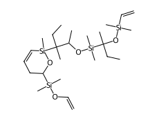 C=CO[Si](C)(C)C1CC=C[Si](C)(C(C)(CC)C(C)O[Si](C)(C)C(C)(CC)O[Si](C)(C)C=C)O1